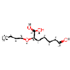 CCCCOC(CCCCC=O)C(=O)O